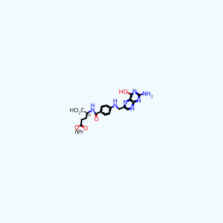 CCCOC(=O)CC[C@H](NC(=O)c1ccc(NCc2cnc3nc(N)nc(O)c3n2)cc1)C(=O)O